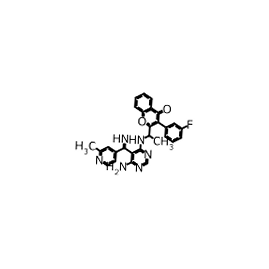 Cc1cc(C(=N)c2c(N)ncnc2NC(C)c2oc3ccccc3c(=O)c2-c2cccc(F)c2)ccn1